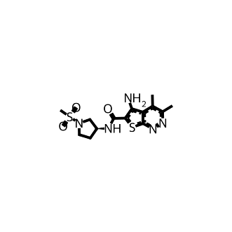 Cc1nnc2sc(C(=O)N[C@H]3CCN(S(C)(=O)=O)C3)c(N)c2c1C